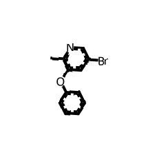 Cc1ncc(Br)cc1Oc1ccccc1